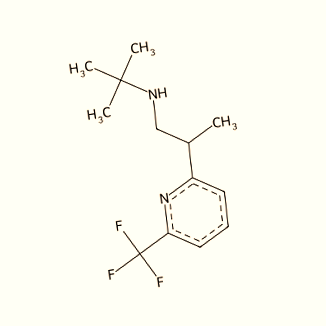 CC(CNC(C)(C)C)c1cccc(C(F)(F)F)n1